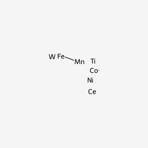 [Ce].[Co].[Mn][Fe].[Ni].[Ti].[W]